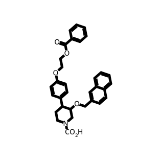 O=C(OCCOc1ccc(C2CCN(C(=O)O)CC2OCc2ccc3ccccc3c2)cc1)c1ccccc1